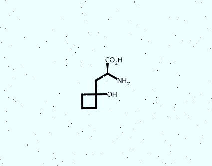 N[C@@H](CC1(O)CCC1)C(=O)O